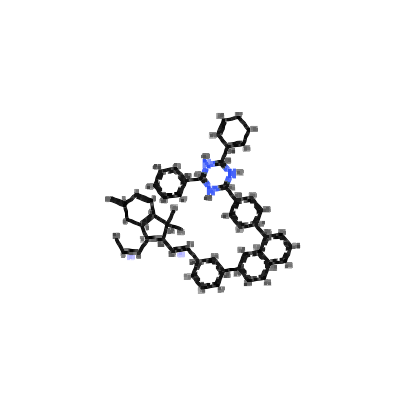 C=C1C=CC2=C(C1)C(/C=C\C)=C(/C=C/c1cccc(-c3ccc4cccc(-c5ccc(-c6nc(C7=CCCC=C7)nc(-c7ccccc7)n6)cc5)c4c3)c1)C2(C)C